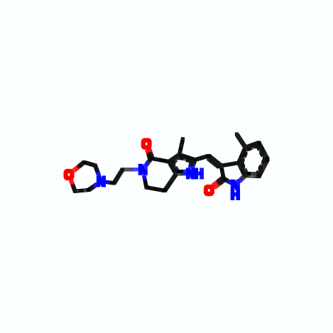 Cc1cccc2c1/C(=C/c1[nH]c3c(c1C)C(=O)N(CCN1CCOCC1)CC3)C(=O)N2